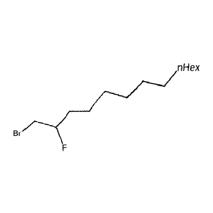 CCCCCCCCCCCCC(F)CBr